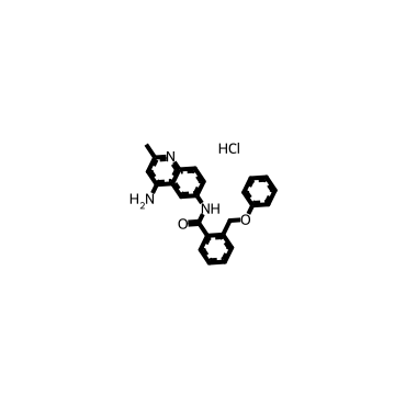 Cc1cc(N)c2cc(NC(=O)c3ccccc3COc3ccccc3)ccc2n1.Cl